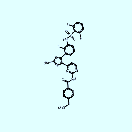 CSCc1ccc(C(=O)Nc2nccc(-c3sc(C(C)(C)C)cc3-c3cccc(NS(=O)(=O)c4c(F)cccc4F)c3F)n2)cc1